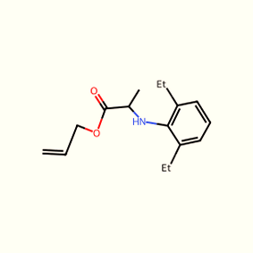 C=CCOC(=O)C(C)Nc1c(CC)cccc1CC